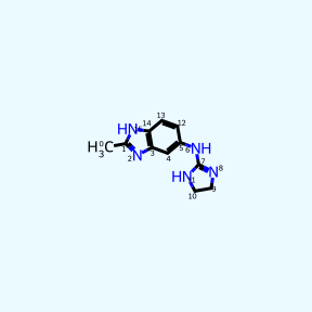 Cc1nc2cc(NC3=NCCN3)ccc2[nH]1